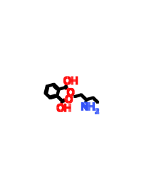 CCC(N)CC.O=C(O)c1ccccc1C(=O)O